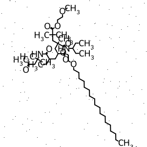 CCCCCCCCCCCCCCCCCCOCCOC(=O)C(C)(CC(CC(CC)C(=O)NC(C)(C)CC(C)=O)C(=O)NC(CC)CC)CC(C)(C)C(=O)OCCOC